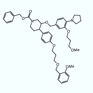 COCCCOc1cc(COC2CN(C(=O)OCc3ccccc3)CCC2c2ccc(OCCCOCc3ccccc3OC)cc2)ccc1N1CCCC1